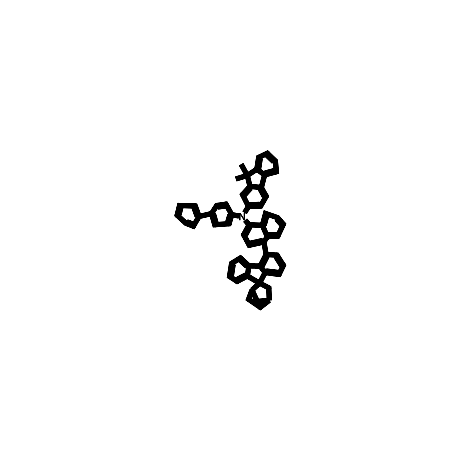 CC1(C)c2ccccc2-c2ccc(N(c3ccc(-c4ccccc4)cc3)c3ccc(-c4cccc5c4-c4ccccc4C54CC5CCC4C5)c4ccccc34)cc21